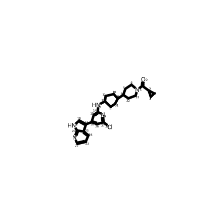 O=C(C1CC1)N1CCC(C2CCC(Nc3cc(-c4c[nH]c5ncccc45)cc(Cl)n3)CC2)CC1